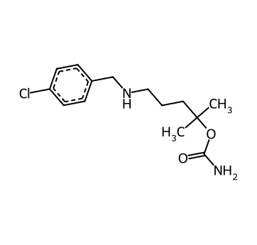 CC(C)(CCCNCc1ccc(Cl)cc1)OC(N)=O